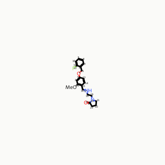 COc1cc(OCc2ccccc2F)ccc1CNCCN1CCCC1=O